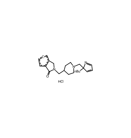 CCCCC1(CN2CCC(CN3Cc4ccccc4C3=O)CC2)C=CC=N1.Cl